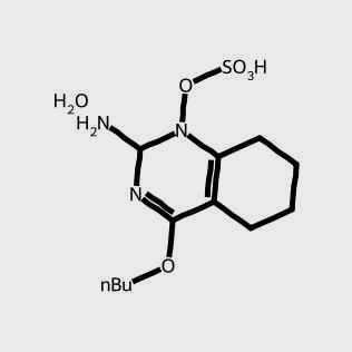 CCCCOC1=NC(N)N(OS(=O)(=O)O)C2=C1CCCC2.O